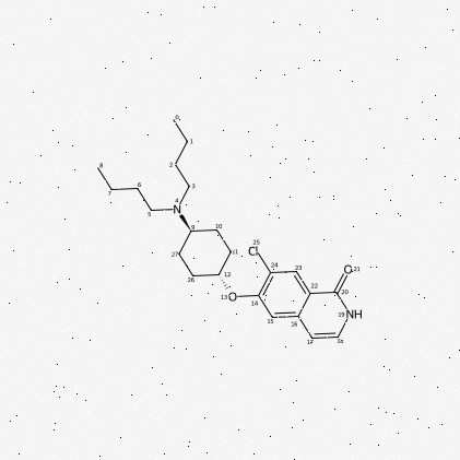 CCCCN(CCCC)[C@H]1CC[C@H](Oc2cc3cc[nH]c(=O)c3cc2Cl)CC1